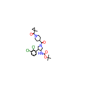 CC(C)(C)OC(=O)NC1CN(C(=O)C2CCN(C(=O)C3(C)CC3)CC2)CC1c1cccc(Cl)c1Cl